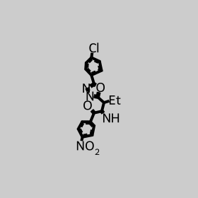 CCC(C(=N)C(=O)c1ccc([N+](=O)[O-])cc1)c1nnc(-c2ccc(Cl)cc2)o1